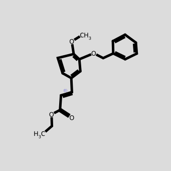 CCOC(=O)/C=C/c1ccc(OC)c(OCc2ccccc2)c1